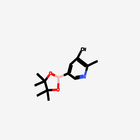 Cc1ncc(B2OC(C)(C)C(C)(C)O2)cc1C#N